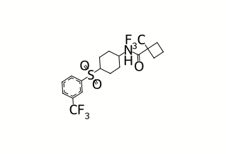 O=C(NC1CCC(S(=O)(=O)c2cccc(C(F)(F)F)c2)CC1)C1(C(F)(F)F)CCC1